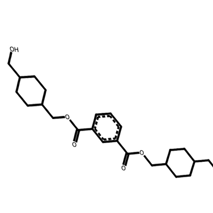 O=C(OCC1CCC(CO)CC1)c1cccc(C(=O)OCC2CCC(CO)CC2)c1